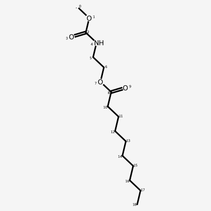 [CH2]OC(=O)NCCOC(=O)CCCCCCCCC